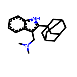 CN(C)Cc1c(C23CC4CC(CC(C4)C2)C3)[nH]c2ccccc12